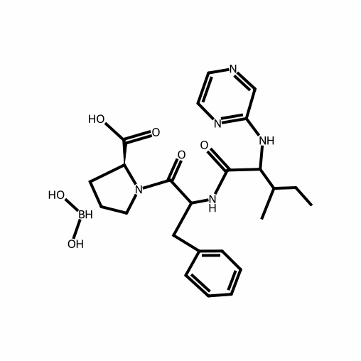 CCC(C)C(Nc1cnccn1)C(=O)NC(Cc1ccccc1)C(=O)N1CCC[C@H]1C(=O)O.OBO